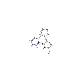 Ic1ccc2c3ccccc3c3cccnc3c2c1